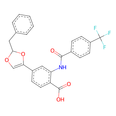 O=C(Nc1cc(C2=COC(Cc3ccccc3)O2)ccc1C(=O)O)c1ccc(C(F)(F)F)cc1